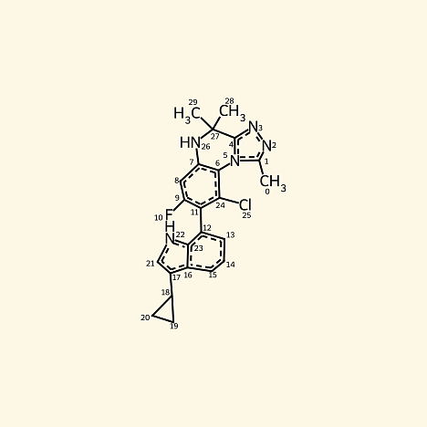 Cc1nnc2n1-c1c(cc(F)c(-c3cccc4c(C5CC5)c[nH]c34)c1Cl)NC2(C)C